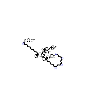 CC/C=C\C/C=C\C/C=C\C/C=C\CCCCC(=O)O[C@H](COC(=O)CCCCCCC/C=C\CCCCCCCC)COP(=O)([O-])OCC[N+](C)(C)C